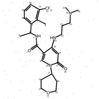 Cc1c(C(C)NC(=O)c2cn(C3CCOCC3)c(=O)cc2NCCCN(C)C)cccc1C(F)(F)F